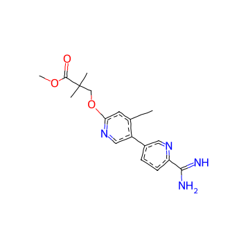 COC(=O)C(C)(C)COc1cc(C)c(-c2ccc(C(=N)N)nc2)cn1